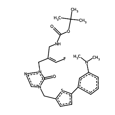 CN(C)c1cccc(-c2ccc(Cn3cnn(CC(=CF)CNC(=O)OC(C)(C)C)c3=O)s2)c1